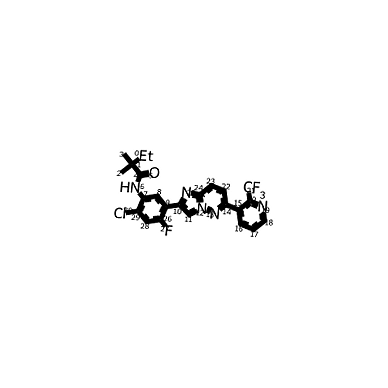 CCC(C)(C)C(=O)Nc1cc(-c2cn3nc(-c4cccnc4C(F)(F)F)ccc3n2)c(F)cc1Cl